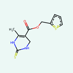 CC1=C(C(=O)OCc2cccs2)CNC(=S)N1